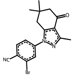 Cc1nn(-c2ccc(C#N)c(Br)c2)c2c1C(=O)CC(C)(C)C2